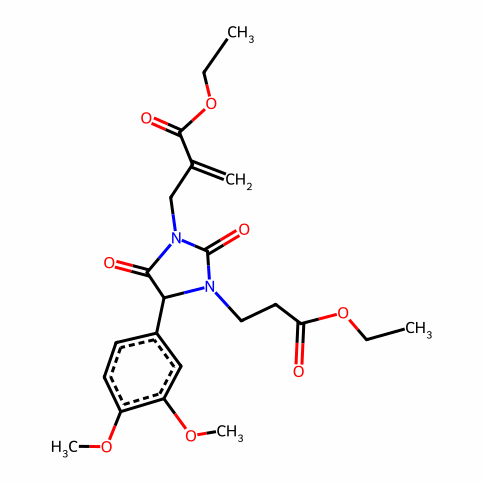 C=C(CN1C(=O)C(c2ccc(OC)c(OC)c2)N(CCC(=O)OCC)C1=O)C(=O)OCC